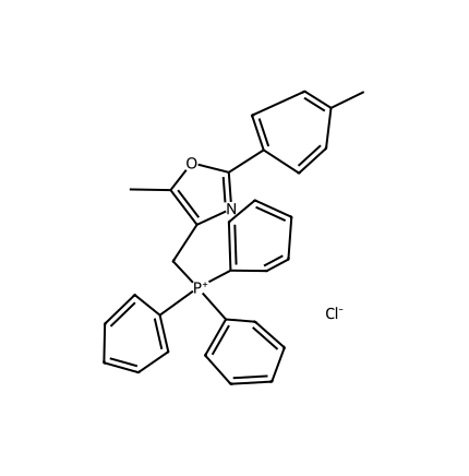 Cc1ccc(-c2nc(C[P+](c3ccccc3)(c3ccccc3)c3ccccc3)c(C)o2)cc1.[Cl-]